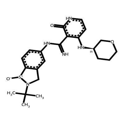 CC(C)(C)N1Cc2cc(NC(=N)c3c(N[C@@H]4CCCOC4)cc[nH]c3=O)ccc2[S+]1[O-]